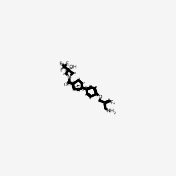 NCC(=CF)COc1ccc(C23CCC(C(=O)N4CC(O)(C(F)(F)F)C4)(CC2)CC3)cc1